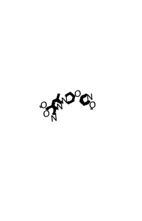 COC(=O)c1cc(C)c(N2CCC(Oc3ccc(OC)nc3)CC2)nc1C#N